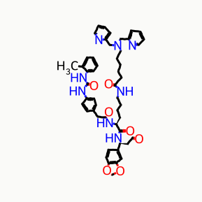 Cc1ccccc1NC(=O)Nc1ccc(CC(=O)N[C@@H](CCCCNC(=O)CCCCCN(Cc2ccccn2)Cc2ccccn2)C(=O)N[C@@H](CC=O)c2ccc3c(c2)OCO3)cc1